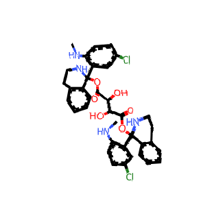 CNc1ccc(Cl)cc1C1(OC(=O)C(O)C(O)C(=O)OC2(c3cc(Cl)ccc3NC)NCCc3ccccc32)NCCc2ccccc21